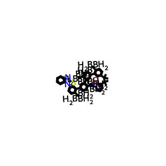 BC(B)(B)c1ccc(-c2c(C(B)(B)B)ccc3c2Oc2ncccc2C(C)(C)C3(C)C)cc1-c1cc(-c2c(C(B)(B)B)ccc3c2sc2nc4ccccc4n23)ccc1C(B)(B)B